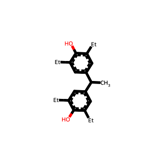 CCc1cc(C(C)c2cc(CC)c(O)c(CC)c2)cc(CC)c1O